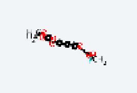 C=C(C)C(=O)Oc1ccc(OC(=O)c2ccc(-c3ccc(-c4ccc(OCCCCOC(=O)C(=C)F)cc4)cc3)cc2)cc1